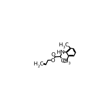 C=CCOC(=O)C(C)Nc1c(C)cccc1Cl